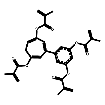 C=C(C)C(=O)OC1=CCC(OC(=O)C(=C)C)=CC(c2cc(OC(=O)C(=C)C)cc(OC(=O)C(=C)C)c2)=C1